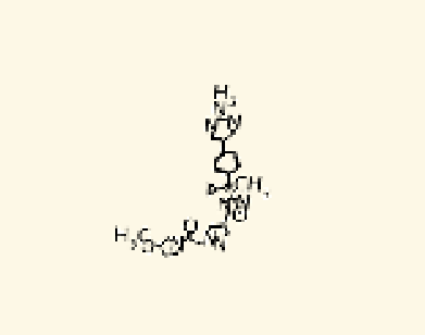 COC1CCN(C(=O)Cn2cc(-c3nc([C@@](C)(c4ccc(-c5cnc(N)nc5)cc4)C4CC4)no3)cn2)C1